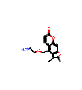 Cc1oc2cc3oc(=O)ccc3c(COCCN)c2c1C